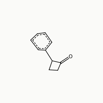 O=C1CCC1c1ccccc1